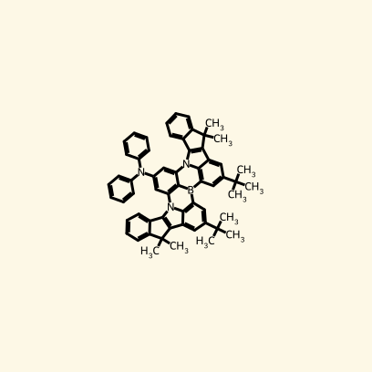 CC(C)(C)c1cc2c3c(c1)c1c(n3-c3cc(N(c4ccccc4)c4ccccc4)cc4c3B2c2cc(C(C)(C)C)cc3c5c(n-4c23)-c2ccccc2C5(C)C)-c2ccccc2C1(C)C